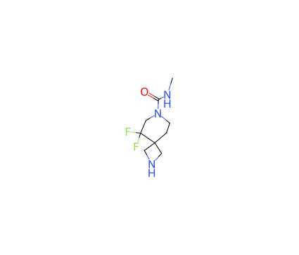 CNC(=O)N1CCC2(CNC2)C(F)(F)C1